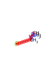 CCCN(CCC)C(=O)C1=Cc2ccc(-c3cncc(S(=O)(=O)N4CC(CN(C)CCOCCOCCOCCOCCOCCOCCOCCOCCOCCOCCC(=O)Oc5c(F)c(F)cc(F)c5F)C4)c3)cc2N=C(N)C1